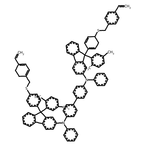 C=CC1=CC=C(CSc2ccc(C3(c4cc(C)ccc4C)c4ccccc4-c4ccc(N(c5ccccc5)c5ccc(-c6ccc(N(c7ccccc7)c7ccc8c(c7)C(C7=CCC(SCc9ccc(C=C)cc9)C=C7)(c7cc(C)ccc7C)c7ccccc7-8)cc6)cc5)cc43)cc2)CC1